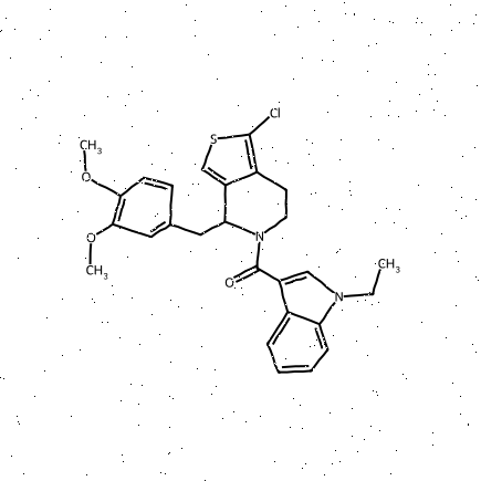 CCn1cc(C(=O)N2CCc3c(csc3Cl)C2Cc2ccc(OC)c(OC)c2)c2ccccc21